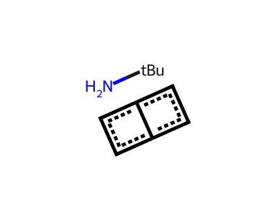 CC(C)(C)N.c1cc2ccc1-2